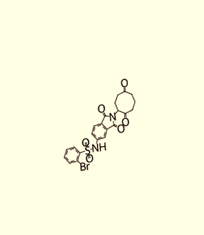 O=C1CCCC(=O)C(N2C(=O)c3ccc(NS(=O)(=O)c4ccccc4Br)cc3C2=O)CC1